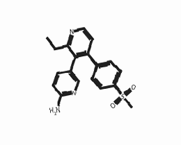 CCc1nccc(-c2ccc(S(C)(=O)=O)cc2)c1-c1ccc(N)nc1